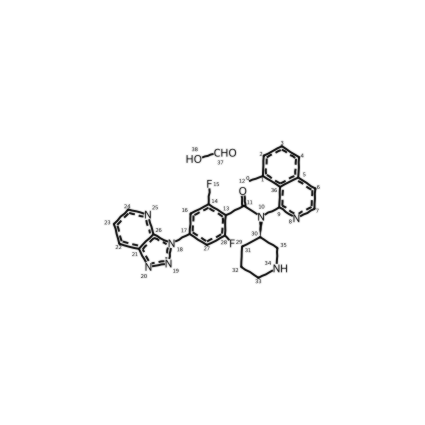 Cc1cccc2ccnc(N(C(=O)c3c(F)cc(-n4nnc5cccnc54)cc3F)[C@@H]3CCCNC3)c12.O=CO